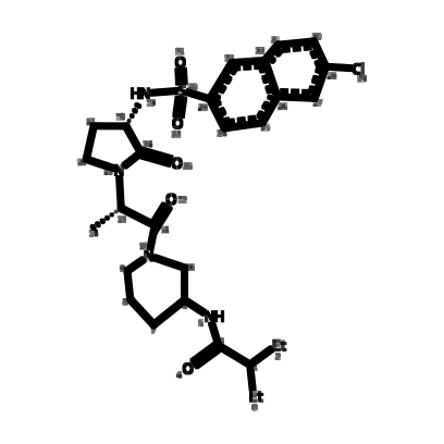 CCC(CC)C(=O)NC1CCCN(C(=O)[C@H](C)N2CC[C@H](NS(=O)(=O)c3ccc4cc(Cl)ccc4c3)C2=O)C1